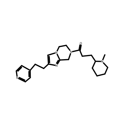 CN1CCCCC1CCC(=O)N1CCn2cc(CCc3ccncc3)nc2C1